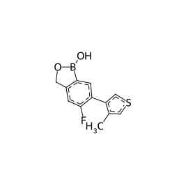 Cc1cscc1-c1cc2c(cc1F)COB2O